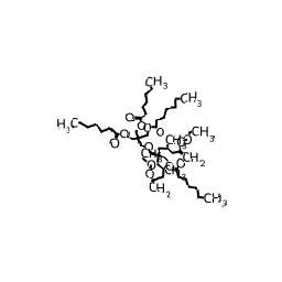 C=C(CC(C)CC(COCC(COC(=O)CCCCCC)(COC(=O)CCCCCC)COC(=O)CCCCCC)(COC(=O)CCCCCC)CC(C)CC(=C)OOCC)OOCC